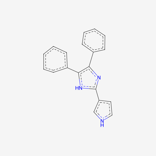 c1ccc(-c2nc(-c3cc[nH]c3)[nH]c2-c2ccccc2)cc1